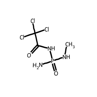 CNP(N)(=O)NC(=O)C(Cl)(Cl)Cl